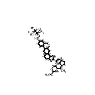 COC(=O)N[C@@H]1C(=O)N2[C@H](c3nc4ccc5cc6c(cc5c4[nH]3)OCc3cc(BOC(C)(C)C(C)(C)O)ccc3-6)C[C@@H]3CCC(C1C)[C@@H]32